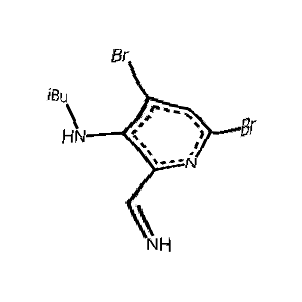 CCC(C)Nc1c(Br)cc(Br)nc1C=N